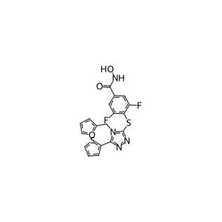 O=C(NO)c1cc(F)c(Sc2nnc(-c3cccs3)n2Cc2ccco2)c(F)c1